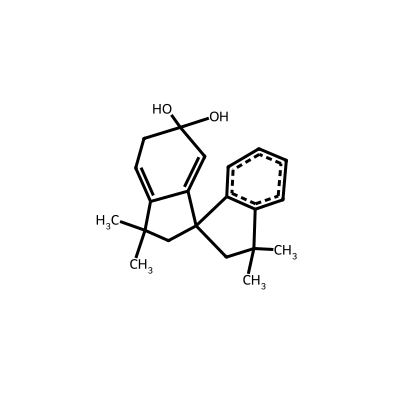 CC1(C)CC2(CC(C)(C)c3ccccc32)C2=CC(O)(O)CC=C21